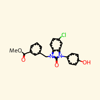 COC(=O)c1cccc(Cn2c(=O)n(-c3ccc(O)cc3)c3cc(Cl)ccc32)c1